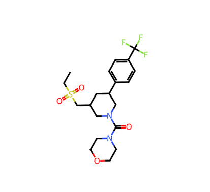 CCS(=O)(=O)CC1CC(c2ccc(C(F)(F)F)cc2)CN(C(=O)N2CCOCC2)C1